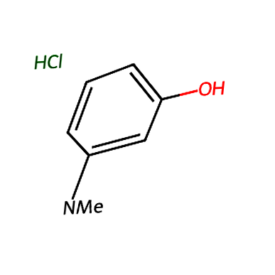 CNc1cccc(O)c1.Cl